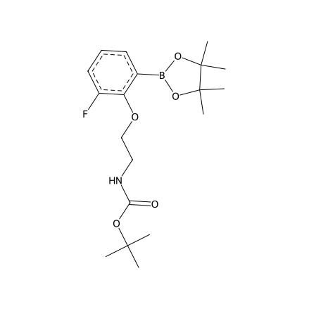 CC(C)(C)OC(=O)NCCOc1c(F)cccc1B1OC(C)(C)C(C)(C)O1